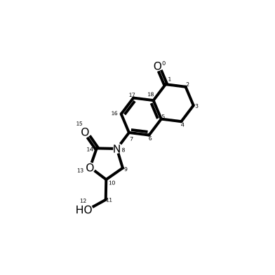 O=C1CCCc2cc(N3CC(CO)OC3=O)ccc21